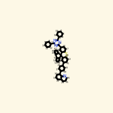 c1ccc(-c2nc(-c3ccccc3)nc(-c3ccc4c(c3)C3(c5cc(-c6ccc(-c7cccc8cccnc78)cc6)ccc5S4)c4ccccc4-c4ccccc43)n2)cc1